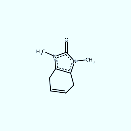 Cn1c2c(n(C)c1=O)CC=CC2